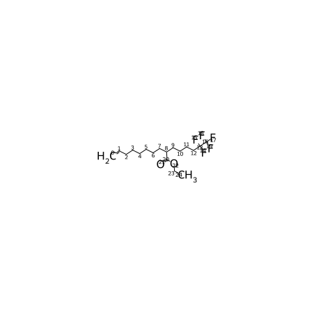 C=CCCCCCCC(CCCCC(F)(F)C(F)(F)F)C(=O)OCC